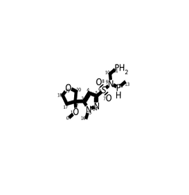 COC1(c2cc(S(=O)(=O)N(CP)PC)nn2C)CCOC1